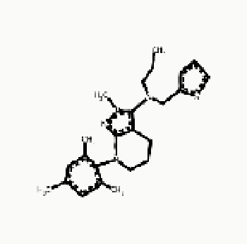 CCCN(Cc1cccs1)c1c2c(nn1C)N(c1c(C)cc(C)cc1C)CCC2